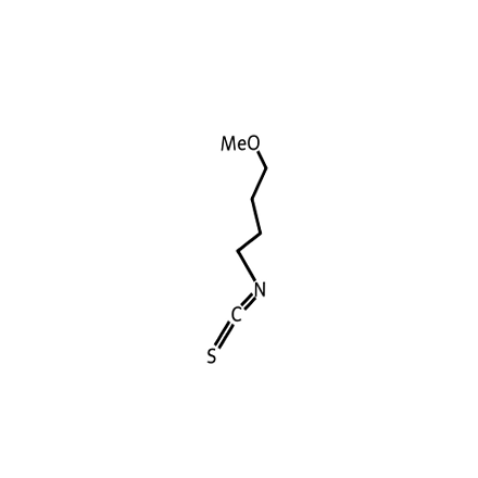 COCCCCN=C=S